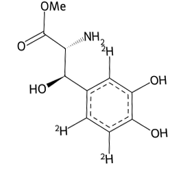 [2H]c1c([2H])c([C@@H](O)[C@@H](N)C(=O)OC)c([2H])c(O)c1O